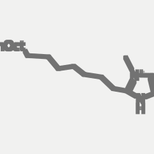 CCCCCCCCCCCCCCCc1[nH]cc[n+]1C